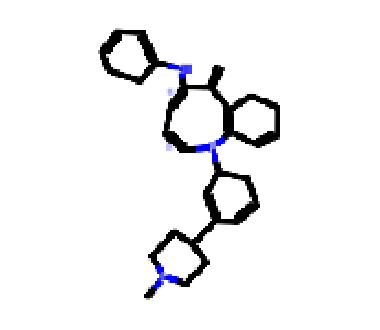 C=C1C2=C(C=CCC2)N(C2C=C(C3CCN(C)CC3)C=CC2)/C=C\C=C/1NC1=CC=CCC1